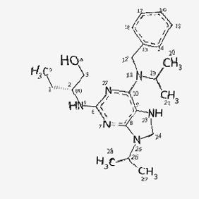 CC[C@H](CO)Nc1nc2c(c(N(Cc3ccccc3)C(C)C)n1)NCN2C(C)C